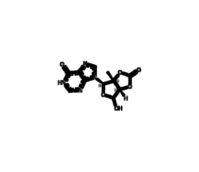 C[C@@]12OC(=O)O[C@@H]1C(O)O[C@H]2n1cnc2c(=O)[nH]cnc21